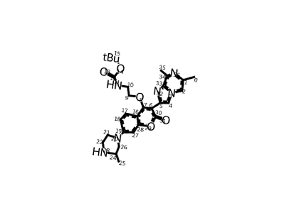 Cc1cn2cc(-c3c(OCCNC(=O)OC(C)(C)C)c4ccc(N5CCNC(C)C5)cc4oc3=O)nc2c(C)n1